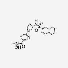 O=C(NO)c1ccc(N2CCC(NS(=O)(=O)c3ccc4ccccc4c3)C2)nc1